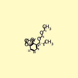 CCOCO[C@H](CC)c1cccc(OC)c1Br